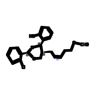 O=COCC/C=C\C[C@@H]1CO[C@H](c2ccccc2Cl)O[C@@H]1c1ccccc1O